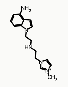 C[n+]1ccn(CCNCCn2ccc3c(N)cccc32)c1